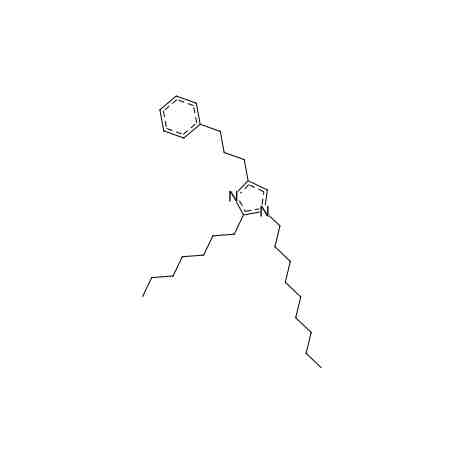 CCCCCCCCCn1cc(CCCc2ccccc2)nc1CCCCCCC